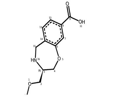 COC[C@@H]1COc2cc(C(=O)O)ccc2CN1